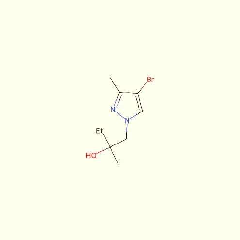 CCC(C)(O)Cn1cc(Br)c(C)n1